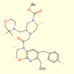 CC(=O)OCc1nc2c(cc1Cc1ccc(F)cc1)N(C(=O)CN1C[C@@H](C)N(C(=O)OC(C)(C)C)CC1CN1CCOCC1(C)C)[C@@H](C)CO2